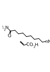 C=CC(=O)O.CCCCCCCCCCCCCCCCCC(N)=O